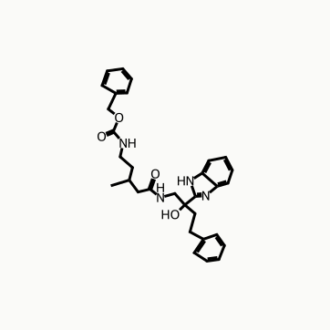 CC(CCNC(=O)OCc1ccccc1)CC(=O)NCC(O)(CCc1ccccc1)c1nc2ccccc2[nH]1